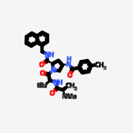 CN[C@@H](C)C(=O)N[C@H](C(=O)N1C[C@@H](NC(=O)c2ccc(C)cc2)C[C@H]1C(=O)NCc1cccc2ccccc12)C(C)(C)C